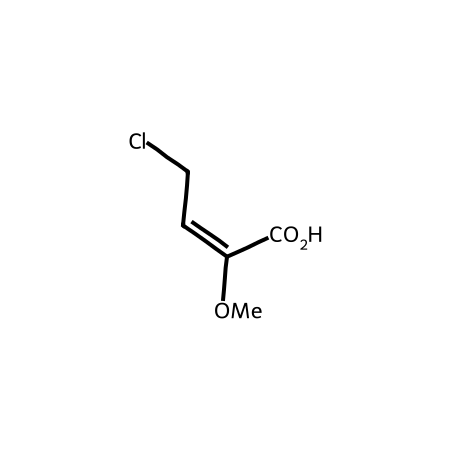 COC(=CCCl)C(=O)O